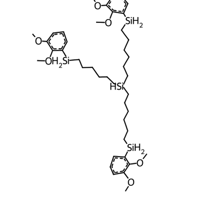 COc1cccc([SiH2]CCCCCC[SiH](CCCCCC[SiH2]c2cccc(OC)c2OC)CCCCCC[SiH2]c2cccc(OC)c2OC)c1OC